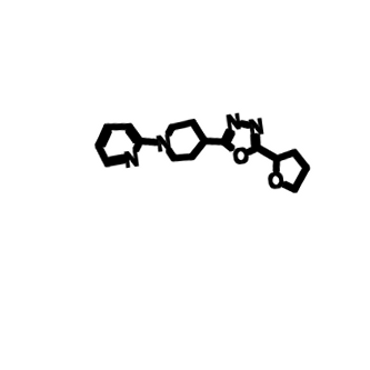 c1ccc(N2CCC(c3nnc(C4CCCO4)o3)CC2)nc1